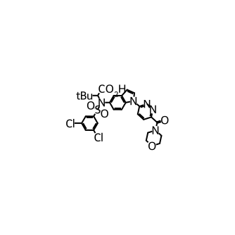 CC(C)(C)C(C(=O)O)N(c1ccc2c(ccn2-c2ccc(C(=O)N3CCOCC3)nn2)c1)S(=O)(=O)c1cc(Cl)cc(Cl)c1